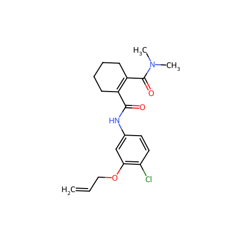 C=CCOc1cc(NC(=O)C2=C(C(=O)N(C)C)CCCC2)ccc1Cl